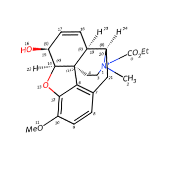 CCOC(=O)[N+]1(C)CC[C@]23c4c5ccc(OC)c4O[C@H]2[C@@H](O)C=C[C@H]3[C@H]1C5